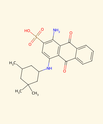 CC1CC(Nc2cc(S(=O)(=O)O)c(N)c3c2C(=O)c2ccccc2C3=O)CC(C)(C)C1